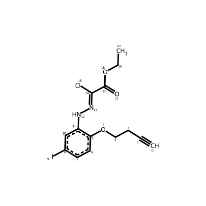 C#CCCOc1ccc(I)cc1NN=C(Cl)C(=O)OCC